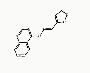 C(=NOc1ncnc2ccccc12)C1=CCOO1